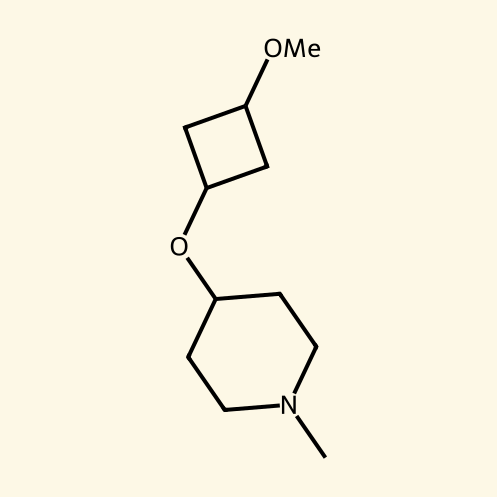 COC1CC(OC2CCN(C)CC2)C1